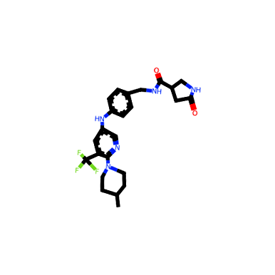 CC1CCN(c2ncc(Nc3ccc(CNC(=O)C4CNC(=O)C4)cc3)cc2C(F)(F)F)CC1